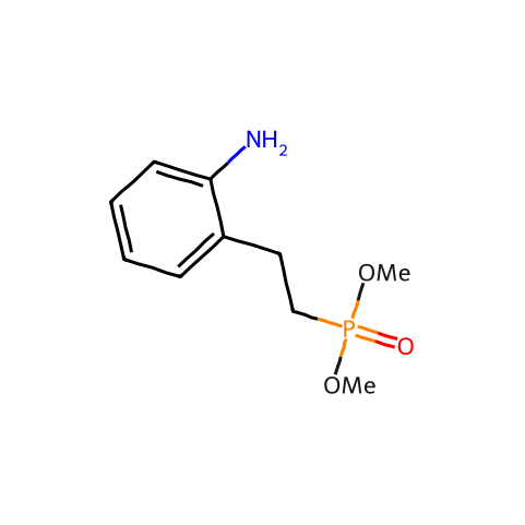 COP(=O)(CCc1ccccc1N)OC